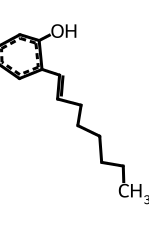 CCCCCC/C=C/c1ccccc1O